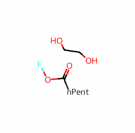 CCCCCC(=O)OF.OCCO